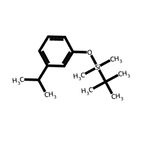 CC(C)c1cccc(O[Si](C)(C)C(C)(C)C)c1